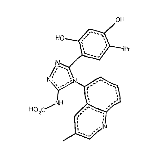 Cc1cnc2cccc(-n3c(NC(=O)O)nnc3-c3cc(C(C)C)c(O)cc3O)c2c1